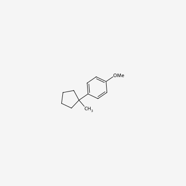 COc1ccc(C2(C)CCCC2)cc1